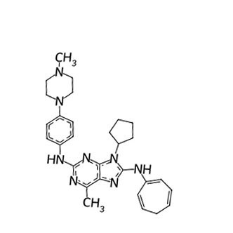 Cc1nc(Nc2ccc(N3CCN(C)CC3)cc2)nc2c1nc(NC1=CC=CCC=C1)n2C1CCCC1